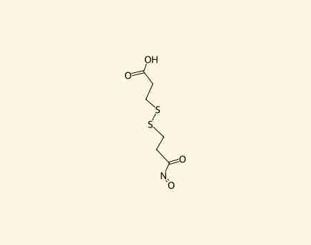 O=NC(=O)CCSSCCC(=O)O